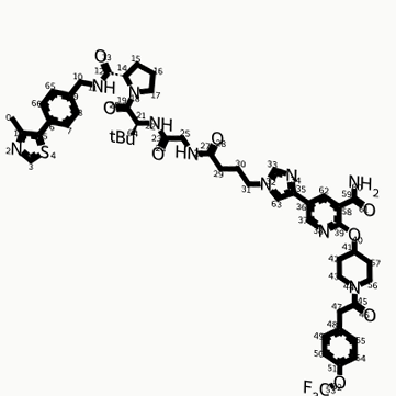 Cc1ncsc1-c1ccc(CNC(=O)[C@@H]2CCCN2C(=O)[C@@H](NC(=O)CNC(=O)CCCn2cnc(-c3cnc(OC4CCN(C(=O)Cc5ccc(OC(F)(F)F)cc5)CC4)c(C(N)=O)c3)c2)C(C)(C)C)cc1